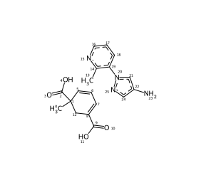 CC1(C(=O)O)C=CC=C(C(=O)O)C1.Cc1ncccc1-n1cc(N)cn1